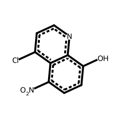 O=[N+]([O-])c1ccc(O)c2nccc(Cl)c12